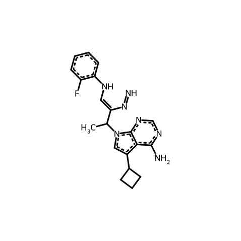 CC(/C(=C/Nc1ccccc1F)N=N)n1cc(C2CCC2)c2c(N)ncnc21